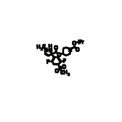 CC(C)OC(=O)N1CCC(OC(=O)C2(c3cc(F)c(S(C)(=O)=O)cc3F)C=CN(C)N2)CC1